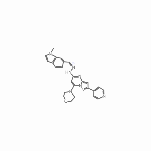 Cn1ccc2ccc(/C=N\Nc3cc(N4CCOCC4)n4nc(-c5ccncc5)cc4n3)cc21